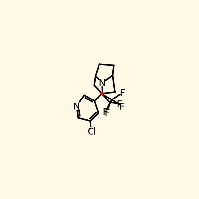 FC(F)C1(c2cncc(Cl)c2)CC2CCC(C1)N2CC(F)(F)F